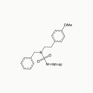 COc1ccc(CCN(Cc2ccccc2)S(=O)(=O)N=[N+]=[N-])cc1